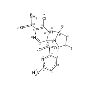 CC1CN(C2(S(=O)(=O)c3cccc(N)n3)C=NC(C(N)=O)=C(Cl)N2)C(C)(C)C1